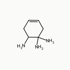 NC1CC=CCC1(N)N